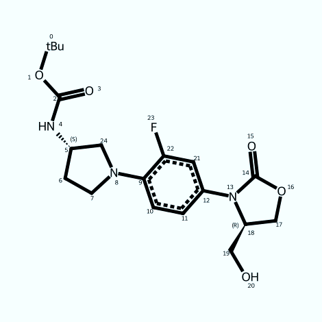 CC(C)(C)OC(=O)N[C@H]1CCN(c2ccc(N3C(=O)OC[C@H]3CO)cc2F)C1